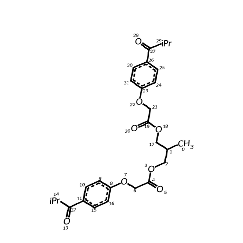 CC(COC(=O)COc1ccc(C(=O)C(C)C)cc1)COC(=O)COc1ccc(C(=O)C(C)C)cc1